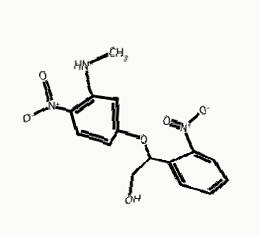 CNc1cc(OC(CO)c2ccccc2[N+](=O)[O-])ccc1[N+](=O)[O-]